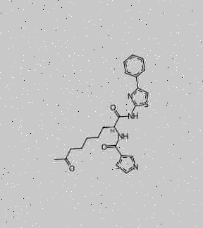 CC(=O)CCCCC[C@H](NC(=O)c1cncs1)C(=O)Nc1nc(-c2ccccc2)cs1